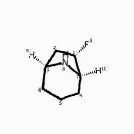 F[C@H]1C[C@@H]2CCC[C@H]1N2